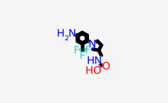 Nc1ccc(N2CCC(CNC(=O)O)C2)c(C(F)(F)F)c1